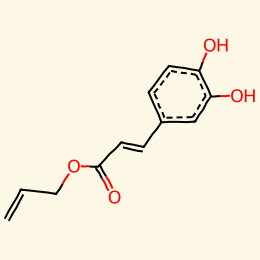 C=CCOC(=O)/C=C/c1ccc(O)c(O)c1